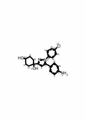 Nc1ccc(-c2cc(C3(O)CCC(O)CC3)nn2-c2ccc(Cl)cc2)cc1